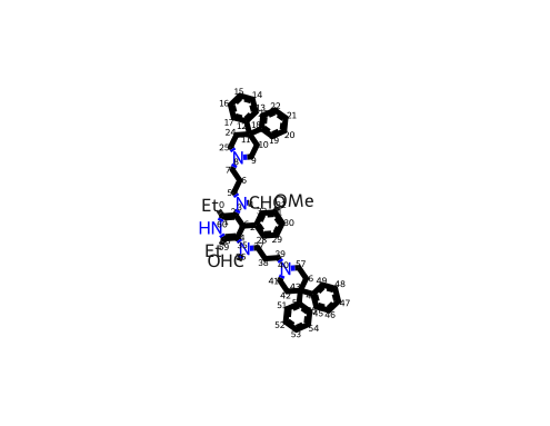 CCC1=C(N(C=O)CCCN2CCC(c3ccccc3)(c3ccccc3)CC2)C(c2cccc(OC)c2)C(N(C=O)CCCN2CCC(c3ccccc3)(c3ccccc3)CC2)=C(CC)N1